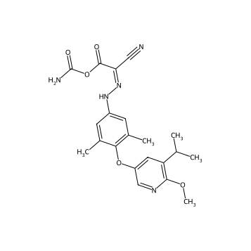 COc1ncc(Oc2c(C)cc(NN=C(C#N)C(=O)OC(N)=O)cc2C)cc1C(C)C